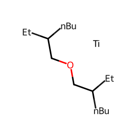 CCCCC(CC)COCC(CC)CCCC.[Ti]